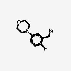 Fc1ccc(N2CCOCC2)cc1CBr